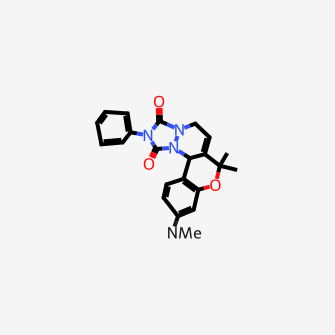 CNc1ccc2c(c1)OC(C)(C)C1=CCn3c(=O)n(-c4ccccc4)c(=O)n3C12